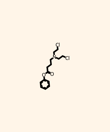 O=C(CCCN(CCCl)CCCl)Oc1ccccc1